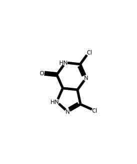 O=C1NC(Cl)=NC2C(Cl)=NNC12